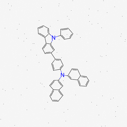 c1ccc(-n2c3ccccc3c3ccc(-c4ccc(N(c5ccc6ccccc6c5)c5ccc6ccccc6c5)cc4)cc32)cc1